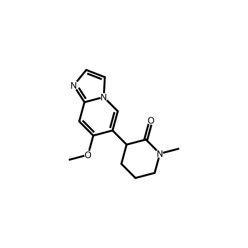 COc1cc2nccn2cc1C1CCCN(C)C1=O